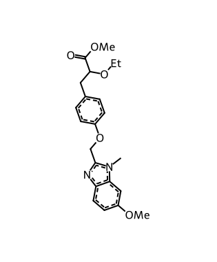 CCOC(Cc1ccc(OCc2nc3ccc(OC)cc3n2C)cc1)C(=O)OC